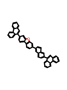 c1ccc2c(c1)cc(-c1ccc3cc(-c4ccc5c(c4)oc4cc(-c6cc7ccccc7c7ccccc67)ccc45)ccc3c1)c1ccccc12